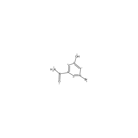 NC(=O)c1cc(O)cc(Br)c1